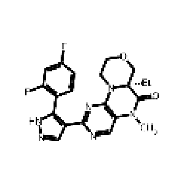 CC[C@@]12COCCN1c1nc(-c3cn[nH]c3-c3ccc(F)cc3F)ncc1N(C)C2=O